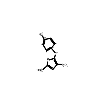 O=[C]c1cc([N+](=O)[O-])c(Sc2ccc(O)cc2)s1